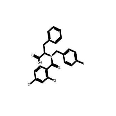 O=C(O)C(Cc1ccccc1)N(Cc1ccc(I)cc1)C(=O)c1ccc(Cl)cc1Cl